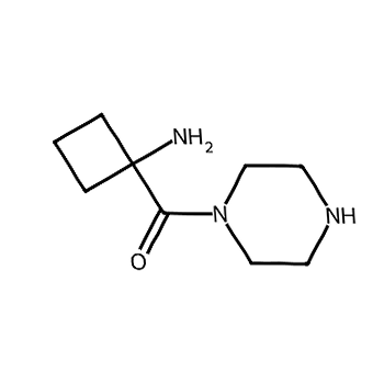 NC1(C(=O)N2CCNCC2)CCC1